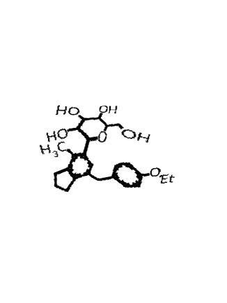 CCOc1ccc(Cc2cc(C3OC(CO)C(O)C(O)C3O)c(C)c3c2CCC3)cc1